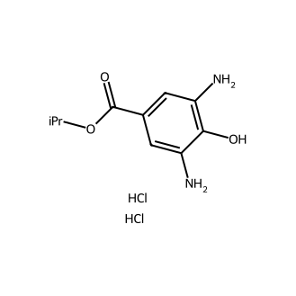 CC(C)OC(=O)c1cc(N)c(O)c(N)c1.Cl.Cl